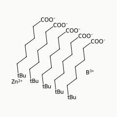 CC(C)(C)CCCCCC(=O)[O-].CC(C)(C)CCCCCC(=O)[O-].CC(C)(C)CCCCCC(=O)[O-].CC(C)(C)CCCCCC(=O)[O-].CC(C)(C)CCCCCC(=O)[O-].[B+3].[Zn+2]